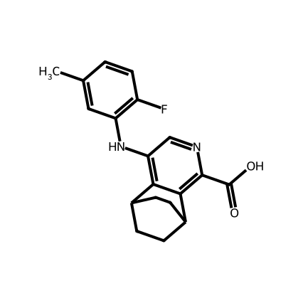 Cc1ccc(F)c(Nc2cnc(C(=O)O)c3c2C2CCC3CC2)c1